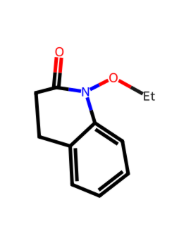 CCON1C(=O)CCc2ccccc21